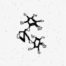 Brc1c(Br)c(Br)c(OCC2(COc3c(Br)c(Br)c(Br)c(Br)c3Br)COC2)c(Br)c1Br